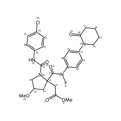 COC(=O)CC1(C(=O)N(F)c2ccc(N3CCCCC3=O)cc2)CC(OC)CN1C(=O)Nc1ccc(Cl)cc1